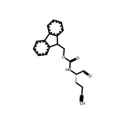 C#CCC[C@@H](C=O)NC(=O)OCC1c2ccccc2-c2ccccc21